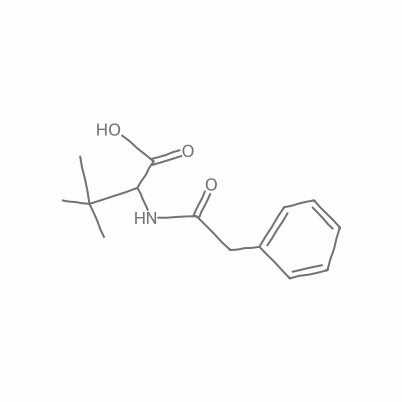 CC(C)(C)C(NC(=O)Cc1ccccc1)C(=O)O